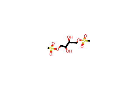 CS(=O)(=O)OCC(O)C(O)COS(C)(=O)=O